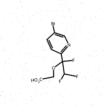 O=C(O)COC(F)(c1ccc(Br)cn1)C(F)F